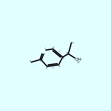 C=C(C)/C=C\C(=C/C)C(C)O